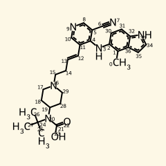 Cc1c(Nc2c(C#N)cncc2C=CCCN2CCC(N(C(=O)O)C(C)(C)C)CC2)ccc2[nH]ccc12